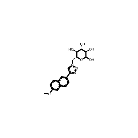 COc1ccc2cc(-c3cn(C[C@H]4OC(O)[C@H](O)[C@@H](O)[C@@H]4O)nn3)ccc2c1